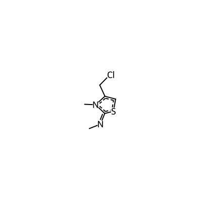 CN=c1scc(CCl)n1C